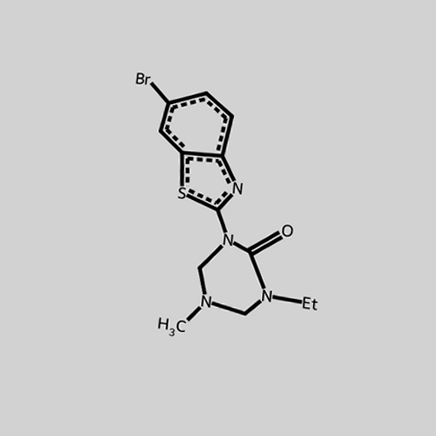 CCN1CN(C)CN(c2nc3ccc(Br)cc3s2)C1=O